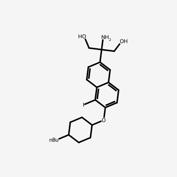 CCCCC1CCC(Oc2ccc3cc(C(N)(CO)CO)ccc3c2I)CC1